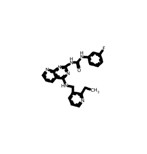 CCc1ncccc1CNc1nc(NC(=O)Nc2cccc(F)c2)nc2ncccc12